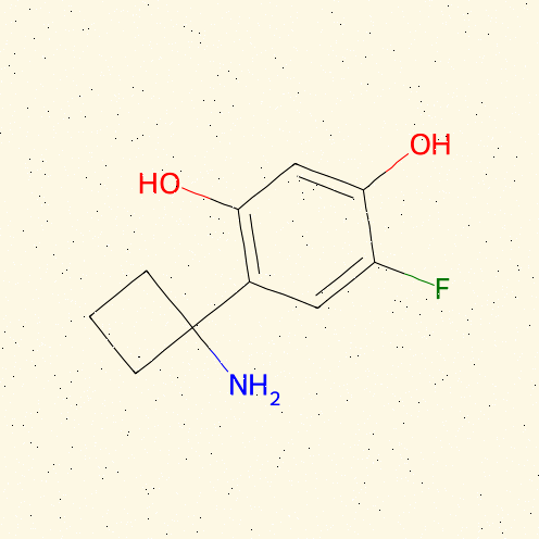 NC1(c2cc(F)c(O)cc2O)CCC1